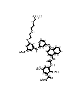 CCOC(=O)COCCOCCOc1cc(Nc2cc(Oc3ccc(NC(=O)Nc4cc(C(C)(C)C)cc(C(=O)NC)c4OC)c4ccccc34)ccn2)cc(OC)c1